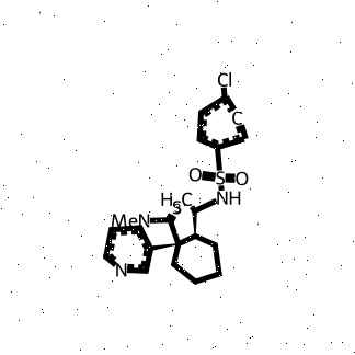 CNC(=S)[C@@]1(c2cccnc2)CCCC[C@@H]1C(C)NS(=O)(=O)c1ccc(Cl)cc1